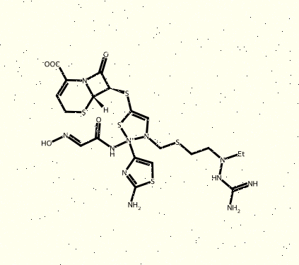 CCN(CCSCN1C=C(S[C@@H]2C(=O)N3C(C(=O)[O-])=CCS[C@@H]23)S[N+]1(NC(=O)C=NO)c1csc(N)n1)NC(=N)N